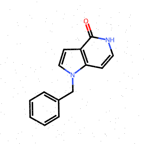 O=c1[nH]ccc2c1ccn2Cc1ccccc1